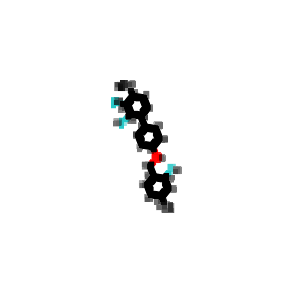 CCCc1ccc(-c2ccc(OCc3ccc(CC)cc3F)cc2)c(F)c1F